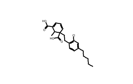 CCCCCc1ccc(CCC2(C(=O)O)C=CC=C(C(=O)O)C2C)c(Cl)c1